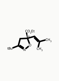 CCOC(=O)[C@]1(C=C(C)C)CC(C(C)(C)C)=NO1